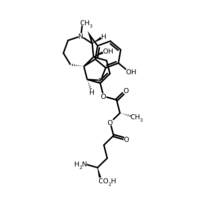 C[C@H](OC(=O)CC[C@H](N)C(=O)O)C(=O)OC1=CC[C@@]2(O)[C@H]3Cc4ccc(O)c5c4[C@@]2(CCCN3C)[C@H]1O5